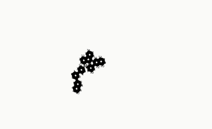 c1cc(-c2ccc(N(c3cccc(-c4ccc5ccccc5c4)c3)c3cccc4c3ccc3ccccc34)cc2)cc(-c2ccc3ccccc3c2)c1